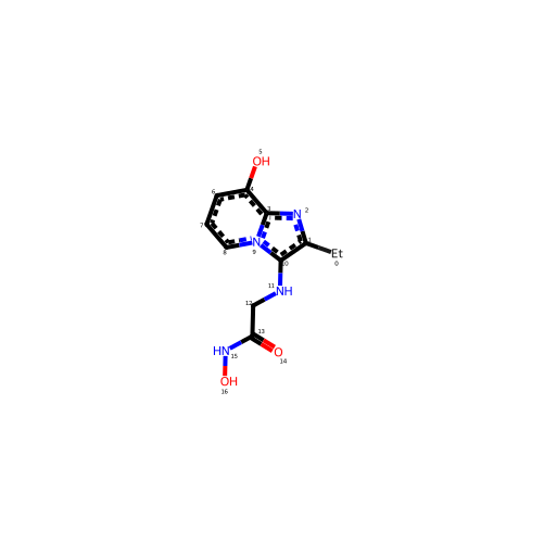 CCc1nc2c(O)cccn2c1NCC(=O)NO